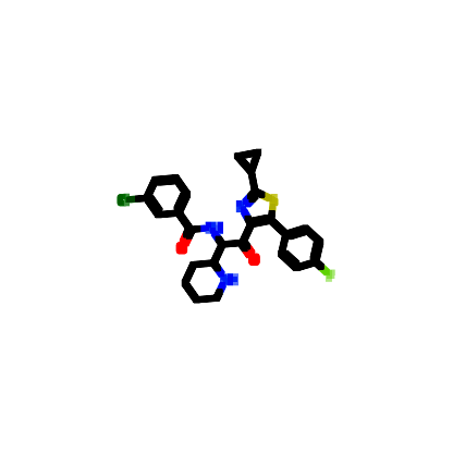 O=C(NC(C(=O)c1nc(C2CC2)sc1-c1ccc(F)cc1)C1CCCCN1)c1cccc(Cl)c1